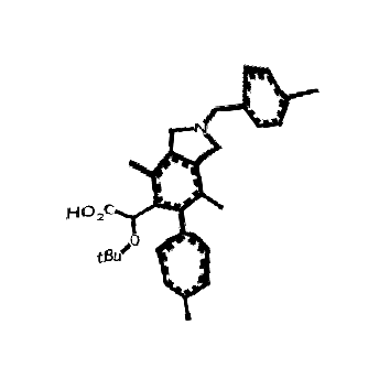 Cc1ccc(CN2Cc3c(C)c(-c4ccc(C)cc4)c(C(OC(C)(C)C)C(=O)O)c(C)c3C2)cc1